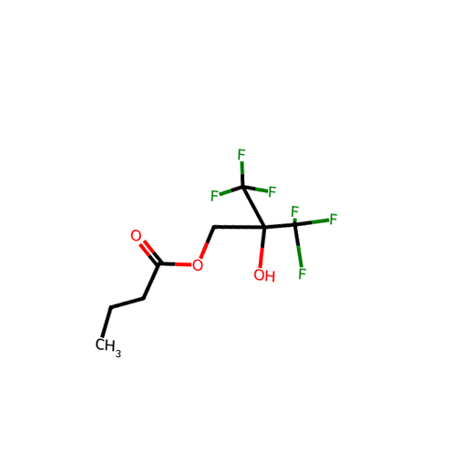 CCCC(=O)OCC(O)(C(F)(F)F)C(F)(F)F